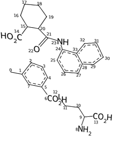 Cc1cccc(C(=O)O)c1.NC(CCI)C(=O)O.O=C(O)C1CCCCC1C(=O)Nc1cccc2ccccc12